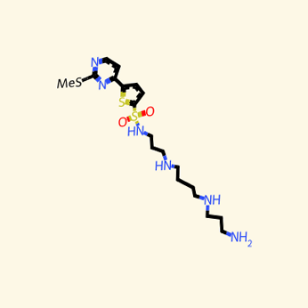 CSc1nccc(-c2ccc(S(=O)(=O)NCCCNCCCCNCCCN)s2)n1